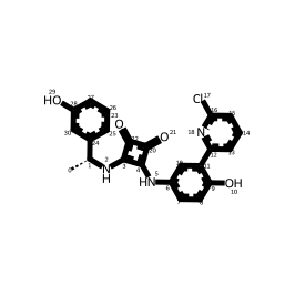 C[C@@H](Nc1c(Nc2ccc(O)c(-c3cccc(Cl)n3)c2)c(=O)c1=O)c1cccc(O)c1